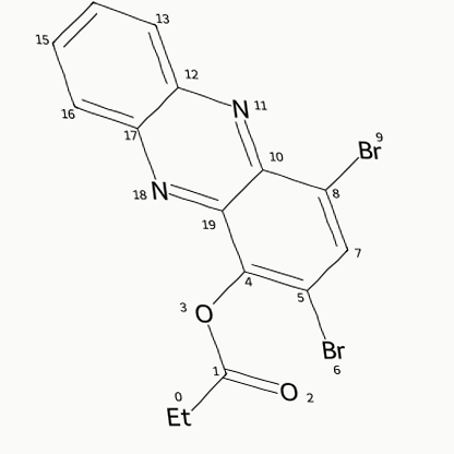 CCC(=O)Oc1c(Br)cc(Br)c2nc3ccccc3nc12